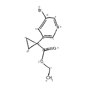 CCOC(=O)C1(c2cncc(Br)c2)CC1